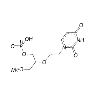 COCC(CO[PH](=O)O)OCCn1ccc(=O)[nH]c1=O